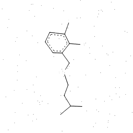 CC(C)CCNCc1cccc(Cl)c1Cl